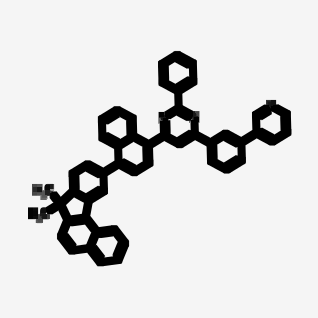 CC1(C)c2ccc(-c3ccc(-c4cc(-c5cccc(-c6cccnc6)c5)nc(-c5ccccc5)n4)c4ccccc34)cc2-c2c1ccc1ccccc21